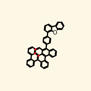 c1ccc(-c2cc3ccccc3c3ccccc23)c(-c2c3ccccc3c(-c3ccc(-c4cccc5c4oc4ccccc45)cc3)c3ccccc23)c1